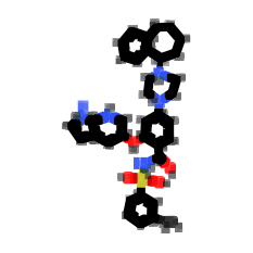 O=C(NS(=O)(=O)c1cccc([N+](=O)[O-])c1)c1ccc(N2CCN([C@H]3CCCCc4ccccc43)CC2)cc1Oc1cnc2[nH]ccc2c1